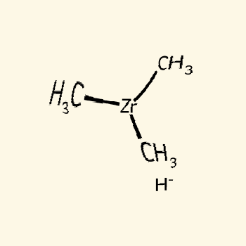 [CH3][Zr]([CH3])[CH3].[H-]